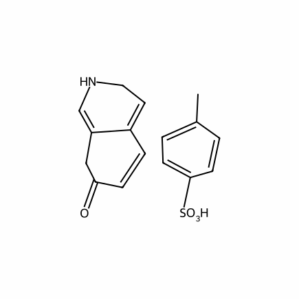 Cc1ccc(S(=O)(=O)O)cc1.O=C1C=CC2=CCNC=C2C1